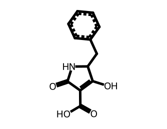 O=C(O)C1=C(O)C(Cc2ccccc2)NC1=O